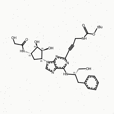 CC(C)(C)OC(=O)NCC#Cc1nc(N[C@H](CO)Cc2ccccc2)c2ncn([C@@H]3C[C@H](NC(=O)CO)[C@@H](O)[C@H]3O)c2n1